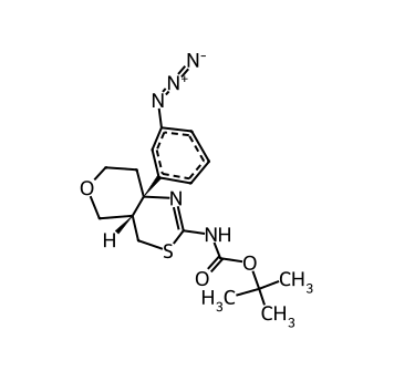 CC(C)(C)OC(=O)NC1=N[C@@]2(c3cccc(N=[N+]=[N-])c3)CCOC[C@H]2CS1